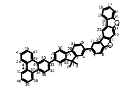 CC1(C)c2cc(-c3ccc4oc5cc6oc7ccccc7c6cc5c4c3)ccc2-c2ccc(-c3ccc4c5ccccc5c5ccccc5c4c3)cc21